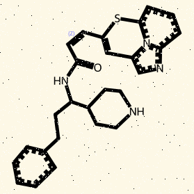 O=C(/C=C\C1=Cc2cnc3cccc(n23)S1)NC(CCc1ccccc1)C1CCNCC1